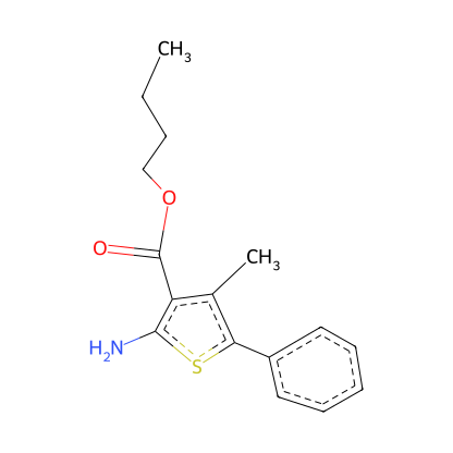 CCCCOC(=O)c1c(N)sc(-c2ccccc2)c1C